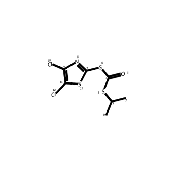 CC(C)SC(=O)Sc1nc(Cl)c(Cl)s1